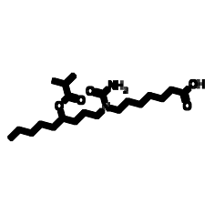 CCCCCC(CCCN(CCCCCCC(=O)O)C(N)=O)OC(=O)C(C)C